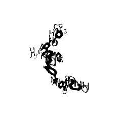 Cc1ncc(NC(=O)c2cccc(C(F)(F)F)c2)cc1-c1cnc(OCc2ccc(-c3cn(-c4ccc5c(c4)C(=O)N(C4CCC(=O)NC4=O)C5=O)nn3)cc2)c(N2CCOCC2)c1